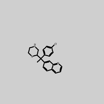 CC(c1ccc(Cl)cc1)(c1ccc2cccnc2c1)C1CNCC[N]1